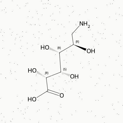 NC[C@@H](O)[C@@H](O)[C@H](O)[C@@H](O)C(=O)O